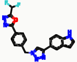 FC(F)c1nnc(-c2ccc(Cn3cc(-c4ccc5[nH]ccc5c4)nn3)cc2)o1